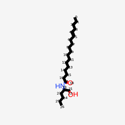 CCCCC=CCCCCCCCCCCCC(=O)NC(CO)CCCC